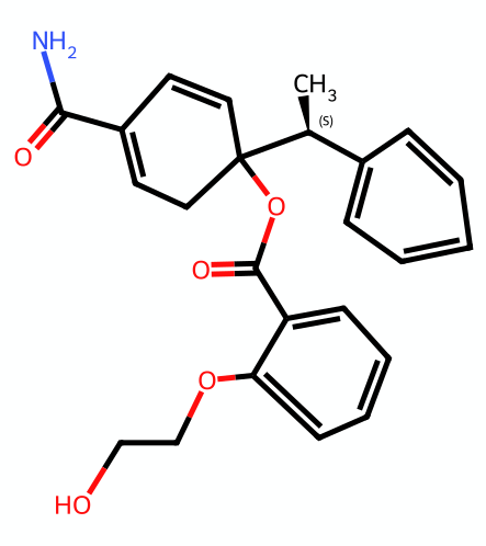 C[C@@H](c1ccccc1)C1(OC(=O)c2ccccc2OCCO)C=CC(C(N)=O)=CC1